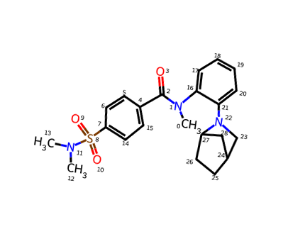 CN(C(=O)c1ccc(S(=O)(=O)N(C)C)cc1)c1ccccc1N1CC2CCC1C2